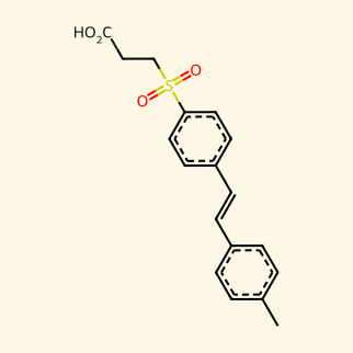 Cc1ccc(C=Cc2ccc(S(=O)(=O)CCC(=O)O)cc2)cc1